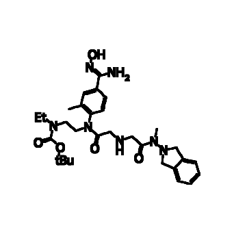 CCN(CCN(C(=O)CNCC(=O)N(C)N1Cc2ccccc2C1)c1ccc(C(N)=NO)cc1C)C(=O)OC(C)(C)C